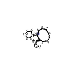 ON=C1CCCCCC/C=C\1N1CCOCC1